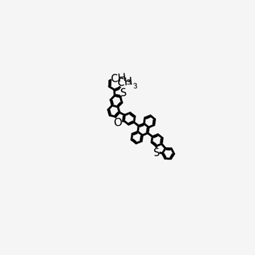 C/C=C\c1c(C)sc2cc3c(ccc4oc5cc(-c6c7ccccc7c(-c7ccc8c(c7)sc7ccccc78)c7ccccc67)ccc5c43)cc12